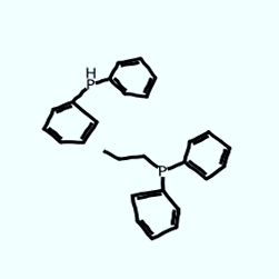 CCCP(c1ccccc1)c1ccccc1.c1ccc(Pc2ccccc2)cc1